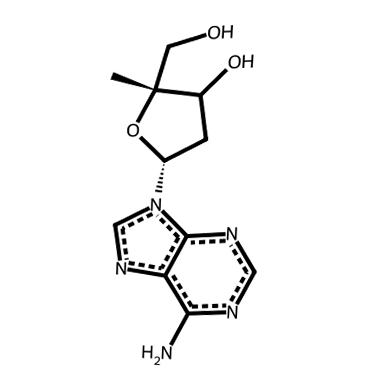 C[C@]1(CO)O[C@@H](n2cnc3c(N)ncnc32)CC1O